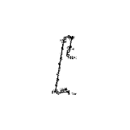 COSP(I)BSOC(=O)NC1CCC(CC2CCC(NC(=O)OCCCCOCCCCOCCCCOCCCCOCCCCOCCCCOCCCCOCCCCOCCCCOC(=O)NC3CCC(CC4CCC(NC(=O)OCCCCCCOC(=O)NC5CCC(CC6CCC(NC(C)=O)CC6)CC5)CC4)CC3)CC2)CC1